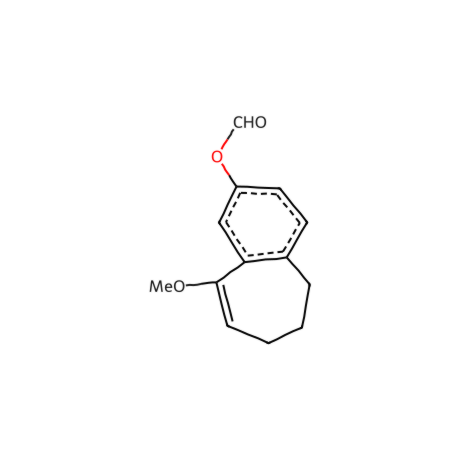 COC1=CCCCc2ccc(OC=O)cc21